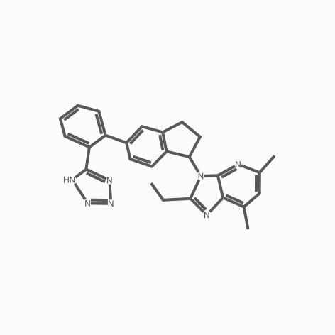 CCc1nc2c(C)cc(C)nc2n1C1CCc2cc(-c3ccccc3-c3nnn[nH]3)ccc21